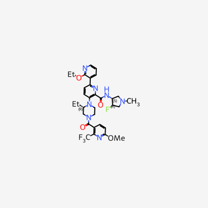 CCOc1ncccc1-c1ccc(N2CCN(C(=O)c3ccc(OC)nc3C(F)(F)F)C[C@H]2CC)c(C(=O)N[C@H]2CN(C)C[C@H]2F)n1